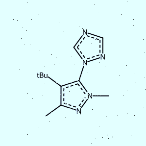 Cc1nn(C)c(-n2cncn2)c1C(C)(C)C